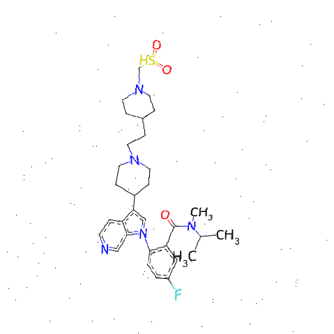 CC(C)N(C)C(=O)c1cc(F)ccc1-n1cc(C2CCN(CCC3CCN(C[SH](=O)=O)CC3)CC2)c2ccncc21